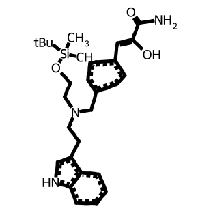 CC(C)(C)[Si](C)(C)OCCN(CCc1c[nH]c2ccccc12)Cc1ccc(C=C(O)C(N)=O)cc1